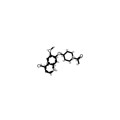 COc1cc2c(Cl)ccnc2cc1OC1CCN(C(C)=O)CC1